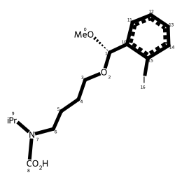 CO[C@@H](OCCCCN(C(=O)O)C(C)C)c1ccccc1I